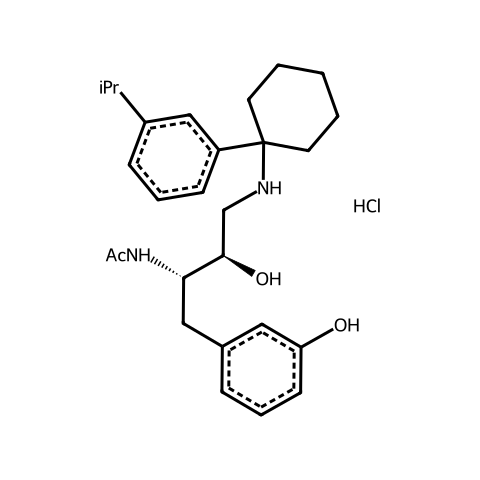 CC(=O)N[C@@H](Cc1cccc(O)c1)[C@H](O)CNC1(c2cccc(C(C)C)c2)CCCCC1.Cl